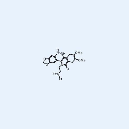 CCN(CC)CCn1c2c(c3c(c1=O)CC(OC)=C(OC)C3)NNc1cc3c(cc1-2)OCO3